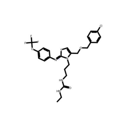 CCNC(=O)NCCCn1c(COCc2ccc(Cl)cc2)cs/c1=N\c1ccc(OC(F)(F)F)cc1